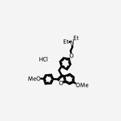 CCN(CC)CCOc1ccc(Cc2c(-c3ccc(OC)cc3)oc3cc(OC)ccc23)cc1.Cl